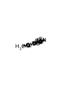 CCC[C@H]1CC[C@H](CC[C@H]2CC[C@H](C(=O)Oc3ccc(C#N)c(F)c3F)CC2)CC1